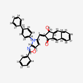 O=C1C(=Cc2cc3oc(-c4ccccc4)nc3n2-c2ccc(-c3ccccc3)cc2)C(=O)c2cc3ccccc3cc21